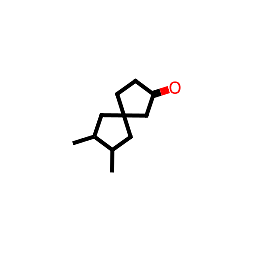 CC1CC2(CCC(=O)C2)CC1C